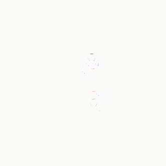 CC[C@H](C)C(N)C(=O)Nc1ccccc1NC(=O)CCCCCC(=O)Nc1cccc(Br)c1